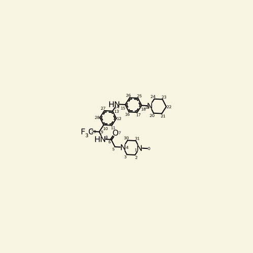 CN1CCN(CC(=O)NC(c2ccc(Nc3ccc(N4CCCCC4)cc3)cc2)C(F)(F)F)CC1